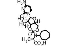 C[C@@H](C(=O)O)N(C1CCCCCC1)P1(=O)OC[C@H]2O[C@@H](n3ccc(N)nc3=O)[C@](C)(O)[C@@H]2O1